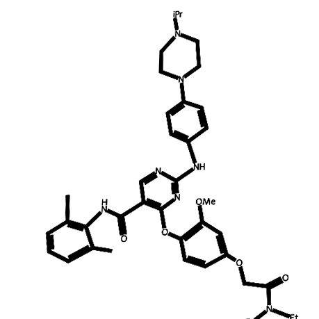 CCN(CC)C(=O)COc1ccc(Oc2nc(Nc3ccc(N4CCN(C(C)C)CC4)cc3)ncc2C(=O)Nc2c(C)cccc2C)c(OC)c1